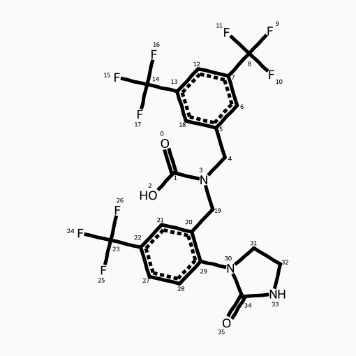 O=C(O)N(Cc1cc(C(F)(F)F)cc(C(F)(F)F)c1)Cc1cc(C(F)(F)F)ccc1N1CCNC1=O